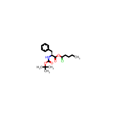 CCCCC(Cl)OC(=O)[C@H](Cc1ccccc1)NC(=O)OC(C)(C)C